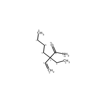 C=CC(CC)(CCCC)C(N)=O